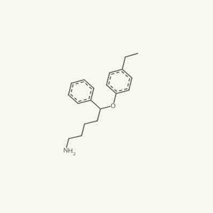 CCc1ccc(OC(CCCCN)c2ccccc2)cc1